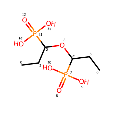 CCC(OC(CC)P(=O)(O)O)P(=O)(O)O